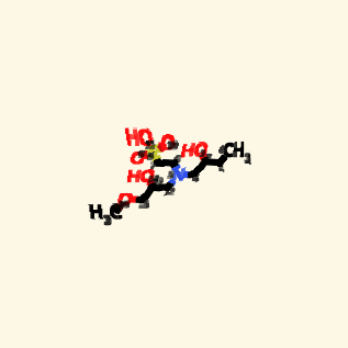 CCC(O)CN(CCS(=O)(=O)O)CC(O)COC